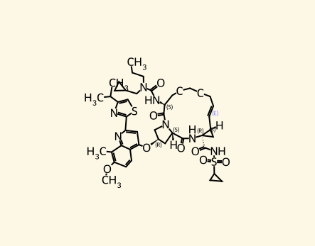 CCCN(CC1CC1)C(=O)N[C@H]1CCCCC/C=C/[C@@H]2C[C@@]2(C(=O)NS(=O)(=O)C2CC2)NC(=O)[C@@H]2C[C@@H](Oc3cc(-c4nc(C(C)C)cs4)nc4c(C)c(OC)ccc34)CN2C1=O